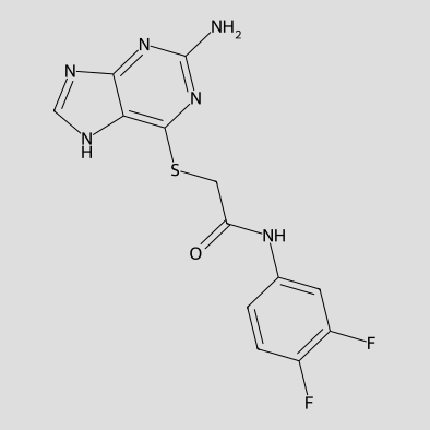 Nc1nc(SCC(=O)Nc2ccc(F)c(F)c2)c2[nH]cnc2n1